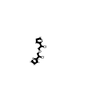 ClC(COCC(Cl)c1cccs1)c1cccs1